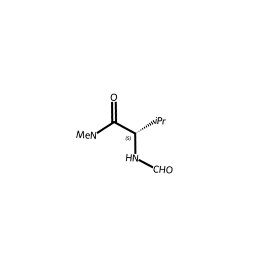 CNC(=O)[C@@H](NC=O)C(C)C